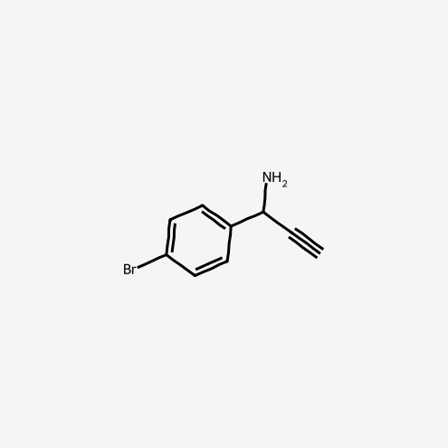 C#CC(N)c1ccc(Br)cc1